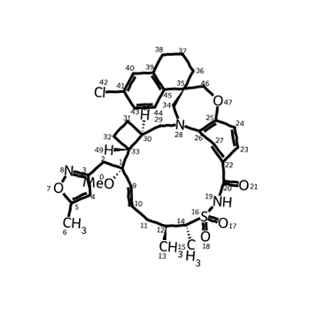 CO[C@@]1(Cc2cc(C)on2)/C=C/C[C@H](C)[C@@H](C)S(=O)(=O)NC(=O)c2ccc3c(c2)N(C[C@@H]2CC[C@H]21)C[C@@]1(CCCc2cc(Cl)ccc21)CO3